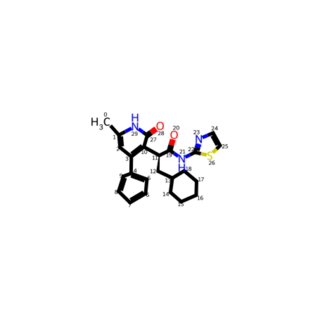 Cc1cc(-c2ccccc2)c([C@H](CC2CCCCC2)C(=O)Nc2nccs2)c(=O)[nH]1